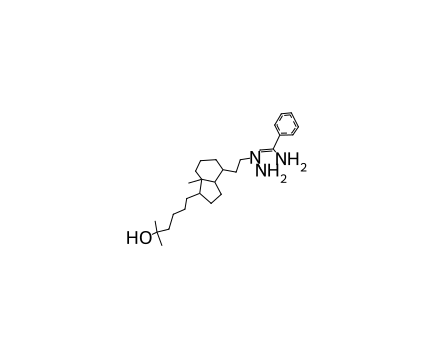 CC(C)(O)CCCCC1CCC2C(CCN(N)/C=C(\N)c3ccccc3)CCCC12C